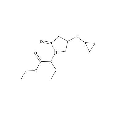 CCOC(=O)C(CC)N1CC(CC2CC2)CC1=O